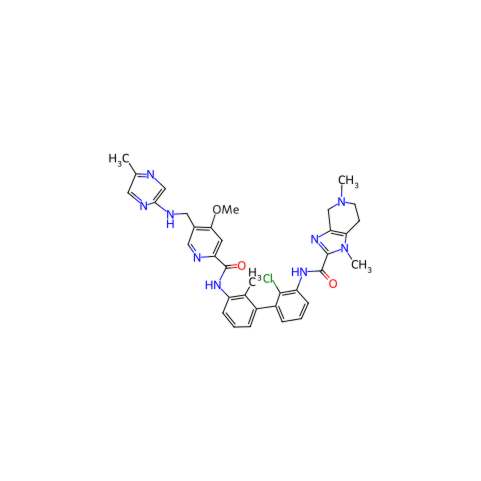 COc1cc(C(=O)Nc2cccc(-c3cccc(NC(=O)c4nc5c(n4C)CCN(C)C5)c3Cl)c2C)ncc1CNc1cnc(C)cn1